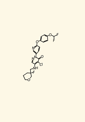 O=c1c(Cl)c(NC[C@@]2(F)CCCOC2)cnn1-c1ccc(Oc2ccc(OC(F)F)cc2)nc1